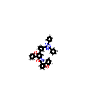 c1ccc(-c2nc(-c3ccccc3)nc(-c3cccc(-c4cc5nc(-c6cccc7oc8ccccc8c67)oc5c5c4oc4ccccc45)c3)n2)cc1